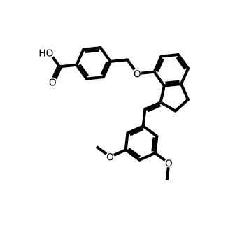 COc1cc(C=C2CCc3cccc(OCc4ccc(C(=O)O)cc4)c32)cc(OC)c1